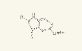 CCc1cc(=O)c2nc(OC)ccc2[nH]1